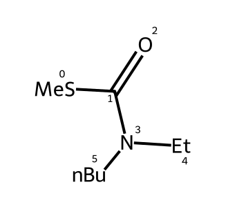 [CH2]SC(=O)N(CC)CCCC